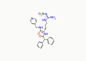 N/C(=N/[N+](=O)[O-])NCCC[C@@H](NC(=O)C(c1ccccc1)c1ccccc1)C(=O)NCc1ccncc1